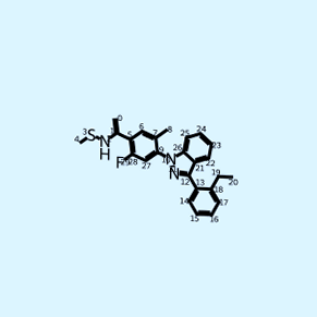 C=C(NSC)c1cc(C)c(-n2nc(-c3ccccc3CC)c3ccccc32)cc1F